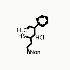 C=CC(CC(S)CCCCCCCCCCC)c1ccccc1.Cl